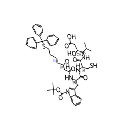 CC(C)[C@@H](NC(=O)[C@@H](CS)NC(=O)[C@@H](Cc1cn(C(=O)OC(C)(C)C)c2ccccc12)NC(=O)C[C@H](O)/C=C/CCSC(c1ccccc1)(c1ccccc1)c1ccccc1)[C@@H](O)CC(=O)O